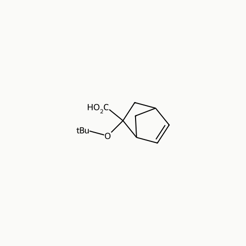 CC(C)(C)OC1(C(=O)O)CC2C=CC1C2